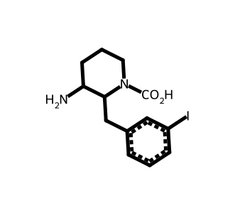 NC1CCCN(C(=O)O)C1Cc1cccc(I)c1